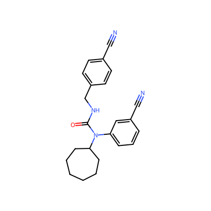 N#Cc1ccc(CNC(=O)N(c2cccc(C#N)c2)C2CCCCCC2)cc1